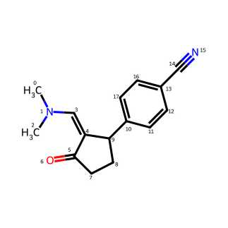 CN(C)/C=C1\C(=O)CCC1c1ccc(C#N)cc1